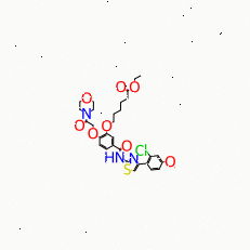 CCOC(=O)CCCCCOc1cc(C(=O)Nc2nc(-c3ccc(OC)cc3Cl)cs2)ccc1OCC(=O)N1CCOCC1